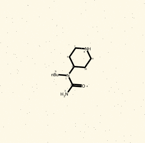 CCCCN(C(N)=O)C1CCNCC1